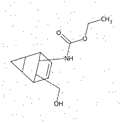 CCOC(=O)NC1C2C=CC(C3CC23)C1CO